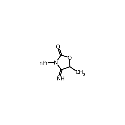 CCCN1C(=N)C(C)OC1=O